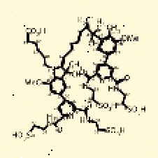 C=C(/C=C/C=C/C=C1/N(CCCCCC(=O)O)c2c(OC)cc(-c3cc(C(=O)NCCS(=O)(=O)O)nc(C(=O)NCCS(=O)(=O)O)c3)cc2C1(C)C)C(C)(C)c1cc(-c2cc(C(=O)NCCS(=O)(=O)O)nc(C(=O)NCCS(=O)(=O)O)c2)cc(OC)c1C